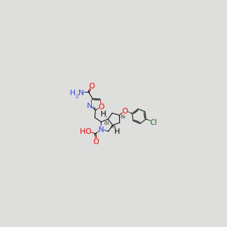 NC(=O)c1coc(CC2[C@H]3C[C@@H](Oc4ccc(Cl)cc4)C[C@H]3CN2C(=O)O)n1